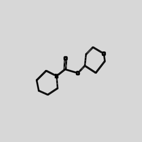 O=C(OC1CCOCC1)N1CCCCC1